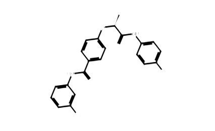 C[C@H](Oc1ccc(C(=O)Nc2cccc(Cl)c2)cc1)C(=O)Nc1ccc(Cl)cc1